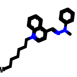 BCCCCCC[n+]1ccc(/C=N/N(C)c2ccccc2)c2ccccc21